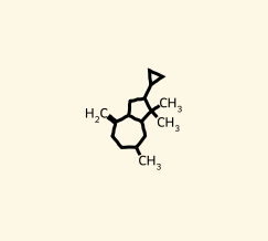 C=C1CCC(C)CC2C1CC(C1CC1)C2(C)C